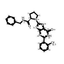 O=C(NCc1ccccc1)[C@H]1CCCN1c1nc2c(=O)[nH]c(-c3ccccc3C(F)(F)F)nc2s1